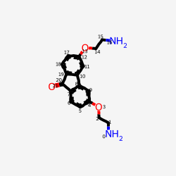 NCCOc1ccc2c(c1)-c1cc(OCCN)ccc1C2=O